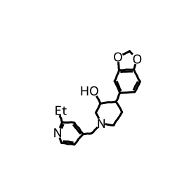 CCc1cc(CN2CCC(c3ccc4c(c3)OCO4)C(O)C2)ccn1